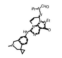 C/C=C\C(=N/N(C=O)C(C)C)n1c2nc(Nc3ccc4c(c3)CN(C)CC43CC3)ncc2c(=O)n1CC